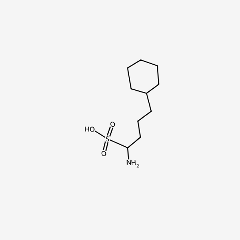 NC(CCCC1CCCCC1)S(=O)(=O)O